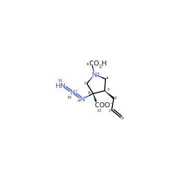 C=CC[C@@H]1CN(C(=O)O)C[C@]1(N=[N+]=N)C(=O)[O-]